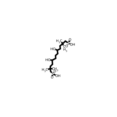 CC(C)(CCC(O)CCCC(O)CCC(C)(C)CS(=O)(=O)O)CS(=O)(=O)O